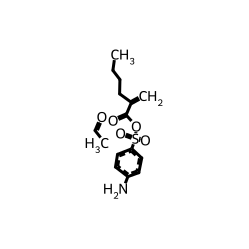 C=C(CCCC)C(=O)OS(=O)(=O)c1ccc(N)cc1.CC=O